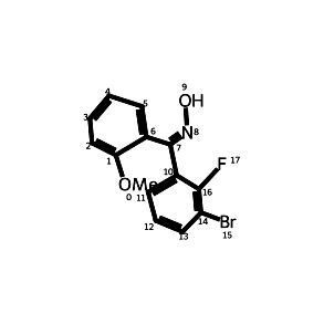 COc1ccccc1/C(=N\O)c1cccc(Br)c1F